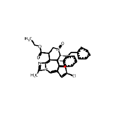 CCOC(=O)C1C[N+](=O)[C@@H](OCc2ccccc2)[C@@]2(c3ccccc3)C3=CC(Cl)=CC3=CN3C(C)=NC3=C12